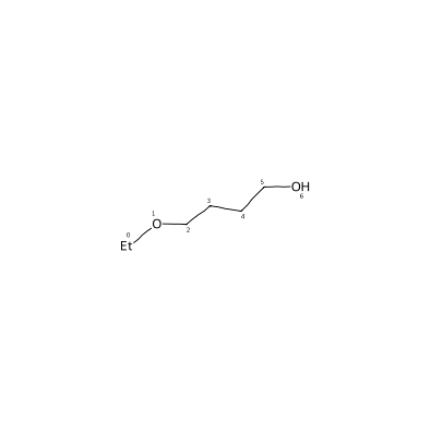 [CH2]COCCCCO